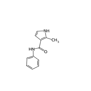 Cc1[nH]ccc1C(=O)Nc1ccccc1